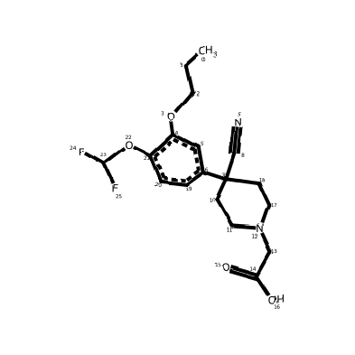 CCCOc1cc(C2(C#N)CCN(CC(=O)O)CC2)ccc1OC(F)F